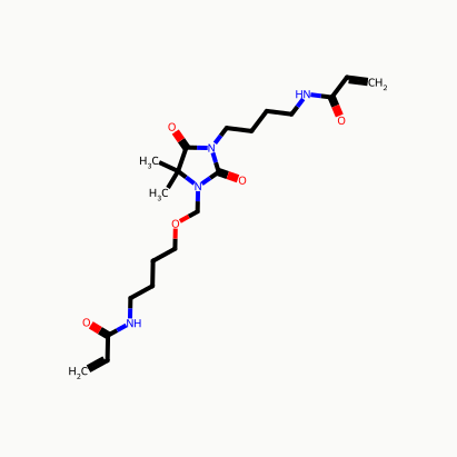 C=CC(=O)NCCCCOCN1C(=O)N(CCCCNC(=O)C=C)C(=O)C1(C)C